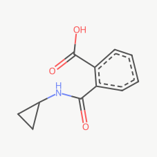 O=C(O)c1ccccc1C(=O)NC1CC1